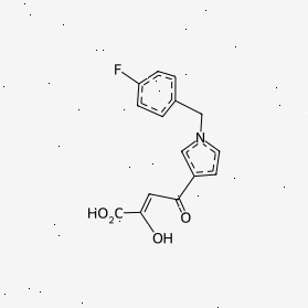 O=C(O)C(O)=CC(=O)c1ccn(Cc2ccc(F)cc2)c1